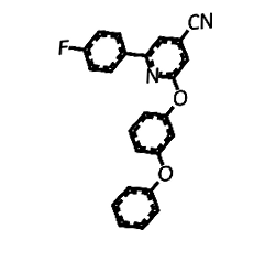 N#Cc1cc(Oc2cccc(Oc3ccccc3)c2)nc(-c2ccc(F)cc2)c1